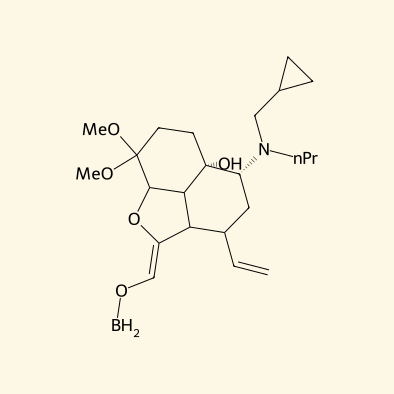 BO/C=C1\OC2C3C1C(C=C)C[C@@H](N(CCC)CC1CC1)[C@]3(O)CCC2(OC)OC